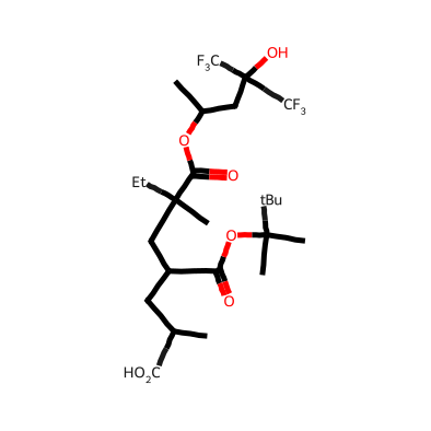 CCC(C)(CC(CC(C)C(=O)O)C(=O)OC(C)(C)C(C)(C)C)C(=O)OC(C)CC(O)(C(F)(F)F)C(F)(F)F